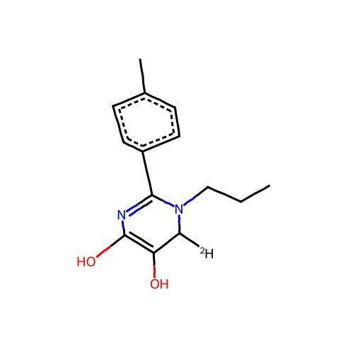 [2H]C1C(O)=C(O)N=C(c2ccc(C)cc2)N1CCC